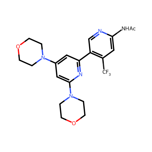 CC(=O)Nc1cc(C(F)(F)F)c(-c2cc(N3CCOCC3)cc(N3CCOCC3)n2)cn1